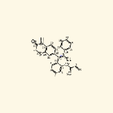 C=CC(=O)Oc1ccccc1/C(=C(\CC)c1ccccc1)c1ccc2c(c1)SCC(=O)N2